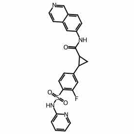 O=C(Nc1ccc2cnccc2c1)C1CC1c1ccc(S(=O)(=O)Nc2ccccn2)c(F)c1